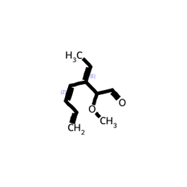 C=C/C=C\C(=C/C)C(C=O)OC